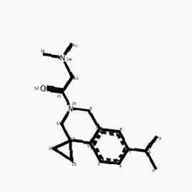 CC(C)c1ccc2c(c1)CN(C(=O)CN(C)C)CC21CC1